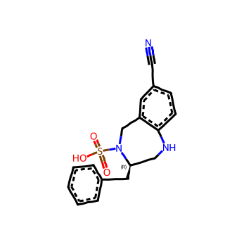 N#Cc1ccc2c(c1)CN(S(=O)(=O)O)[C@H](Cc1ccccc1)CN2